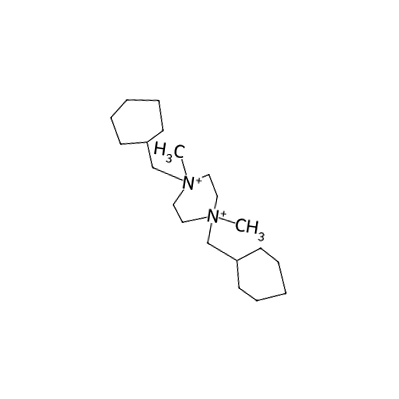 C[N+]1(CC2CCCCC2)CC[N+](C)(CC2CCCCC2)CC1